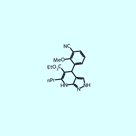 CCCC1=C(C(=O)OCC)C(c2cccc(C#N)c2OC)c2c[nH]nc2N1